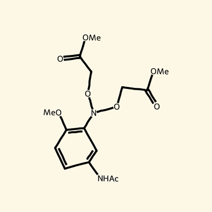 COC(=O)CON(OCC(=O)OC)c1cc(NC(C)=O)ccc1OC